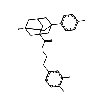 O=C(NCCc1ccc(Cl)c(Cl)c1)C12C[C@H]3C[C@@H](C1)CC(c1ccc(Cl)cc1)(C3)C2